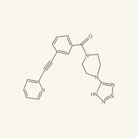 O=C(c1cccc(C#Cc2ccccn2)c1)N1CCN(c2nnn[nH]2)CC1